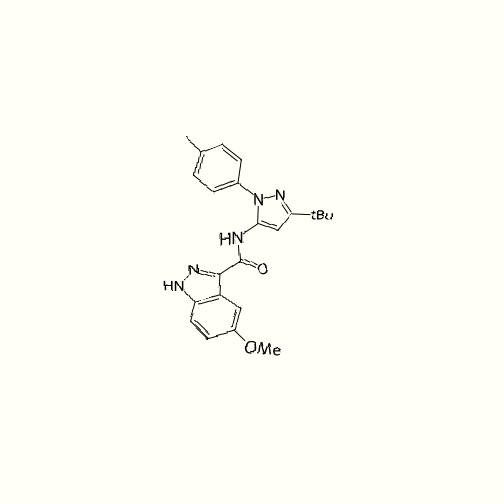 COc1ccc2[nH]nc(C(=O)Nc3cc(C(C)(C)C)nn3-c3ccc(C)cc3)c2c1